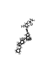 CN(C)C(=O)O[C@@H]1CN[C@H](C#Cc2cc3c(Nc4ccc5c(cnn5Cc5ccccc5)c4)ncnc3s2)C1.Cl